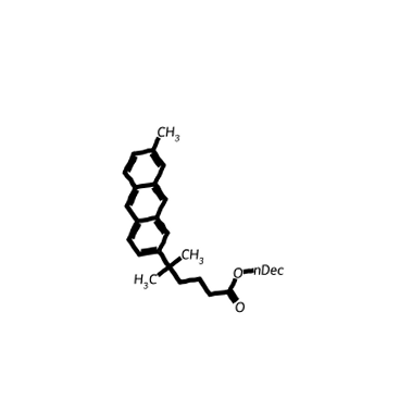 CCCCCCCCCCOC(=O)CCCC(C)(C)c1ccc2cc3ccc(C)cc3cc2c1